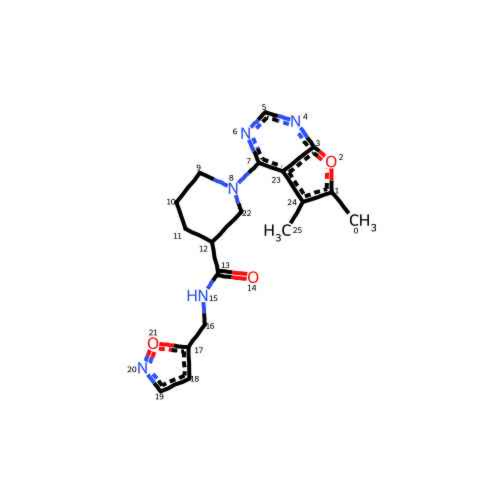 Cc1oc2ncnc(N3CCCC(C(=O)NCc4ccno4)C3)c2c1C